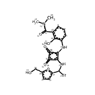 CCC(Nc1c(Nc2cccc(C(=O)N(C)C)c2O)c(=O)c1=O)c1ccc(CO)o1